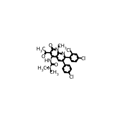 CC(=O)c1c(NC(=O)N(C)C)c2cc(-c3ccc(Cl)cc3)c(-c3ccc(Cl)cc3Cl)nc2n(C)c1=O